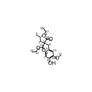 CCCC(Cc1ccc(O)c(OC)c1)(C(=O)OCC)C(=O)OCC